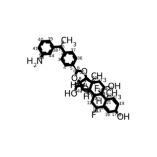 C[C@H](c1ccc([C@@H]2O[C@@H]3C[C@H]4[C@@H]5C[C@H](F)C6=CC(O)C=C[C@]6(C)[C@@]5(F)[C@@H](O)C[C@]4(C)[C@]3(C(=O)CO)O2)cc1)c1cccc(N)c1